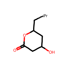 CC(C)CC1CC(O)CC(=O)O1